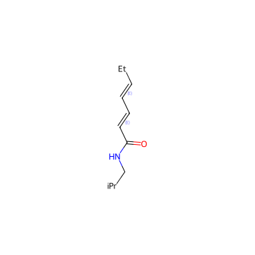 CC/C=C/C=C/C(=O)NCC(C)C